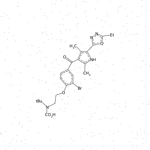 CCc1nnc(-c2[nH]c(C)c(C(=O)c3ccc(OCCN(C(=O)O)C(C)(C)C)c(Br)c3)c2C)o1